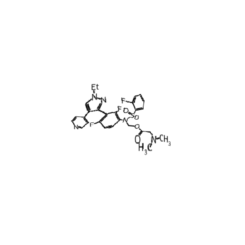 CCn1cc(-c2ccncc2)c(-c2c(F)ccc(N(COC(=O)CN(C)C)S(=O)(=O)c3ccccc3F)c2F)n1